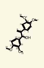 C=C(c1ccc(OC)c(OC)c1)C(O)c1ccc(OC)c(OC)c1